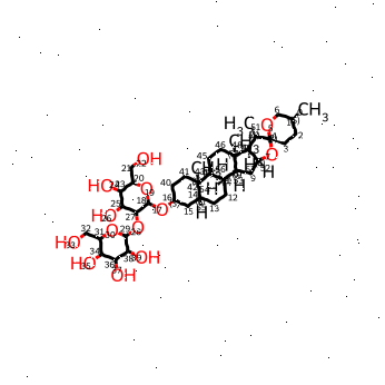 C[C@H]1CC[C@@]2(OC1)O[C@H]1C[C@H]3[C@@H]4CC[C@@H]5C[C@@H](OC6OC(CO)C(O)C(O)C6OC6OC(CO)C(O)C(O)C6O)CC[C@]5(C)[C@H]4CC[C@]3(C)[C@H]1[C@@H]2C